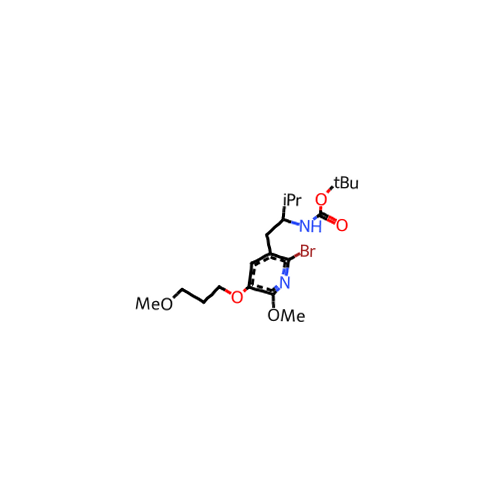 COCCCOc1cc(CC(NC(=O)OC(C)(C)C)C(C)C)c(Br)nc1OC